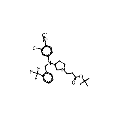 [C-]#[N+]c1ccc(N(Cc2ccccc2C(F)(F)F)[C@H]2CCN(CCC(=O)OC(C)(C)C)C2)cc1Cl